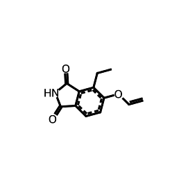 C=COc1ccc2c(c1CC)C(=O)NC2=O